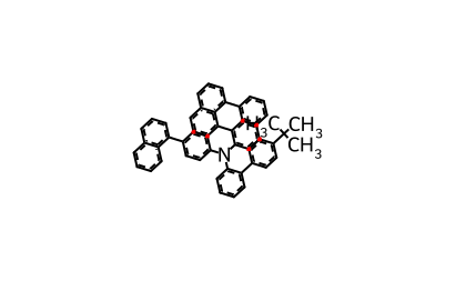 CC(C)(C)c1ccc(-c2ccccc2N(c2ccc(-c3cccc4ccccc34)cc2)c2ccccc2-c2cccc3cccc(-c4ccccc4)c23)cc1